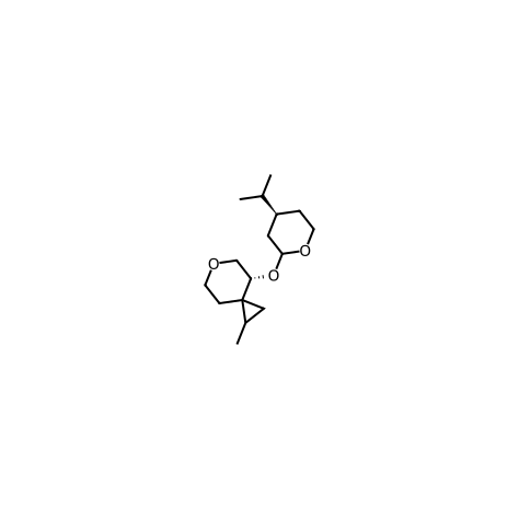 CC(C)[C@H]1CCOC(O[C@H]2COCCC23CC3C)C1